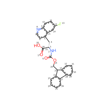 O=C(N[C@@H](Cc1ccnc2ccc(F)cc12)C(=O)O)OCC1c2ccccc2-c2ccccc21